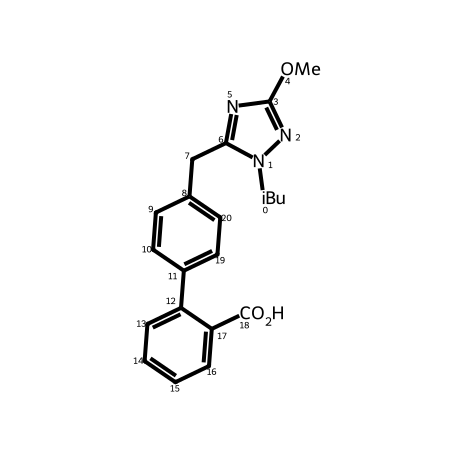 CCC(C)n1nc(OC)nc1Cc1ccc(-c2ccccc2C(=O)O)cc1